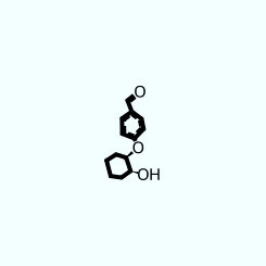 O=Cc1ccc(O[C@@H]2CCCC[C@H]2O)cc1